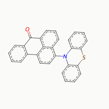 O=C1c2ccccc2-c2ccc(N3c4ccccc4Sc4ccccc43)c3cccc1c23